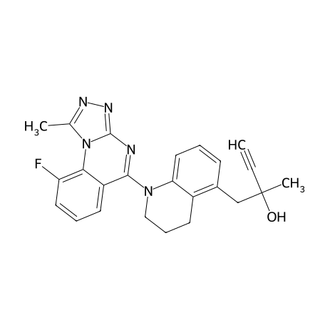 C#CC(C)(O)Cc1cccc2c1CCCN2c1nc2nnc(C)n2c2c(F)cccc12